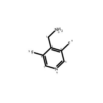 NCc1c(F)cncc1F